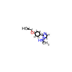 C#CCOc1ccc(-c2nccn2NC)cc1